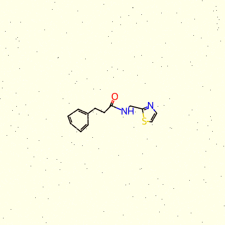 O=C(CCc1ccccc1)NCc1nccs1